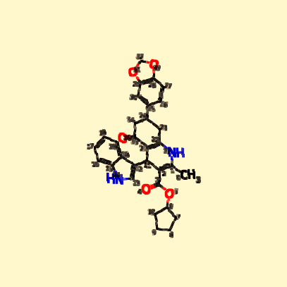 CC1=C(C(=O)OC2CCCC2)C(c2c[nH]c3ccccc23)C2=C(CC(c3ccc4c(c3)OCO4)CC2=O)N1